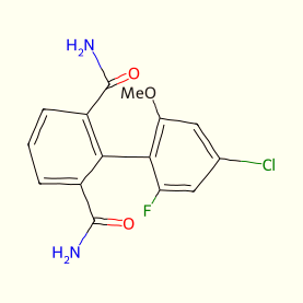 COc1cc(Cl)cc(F)c1-c1c(C(N)=O)cccc1C(N)=O